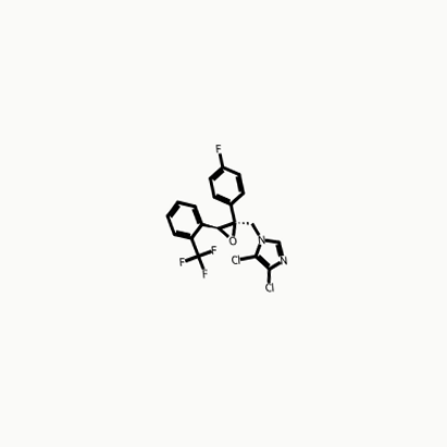 Fc1ccc([C@@]2(Cn3cnc(Cl)c3Cl)O[C@H]2c2ccccc2C(F)(F)F)cc1